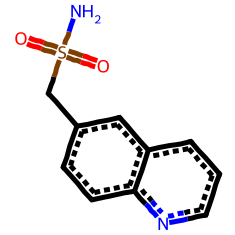 NS(=O)(=O)Cc1ccc2ncccc2c1